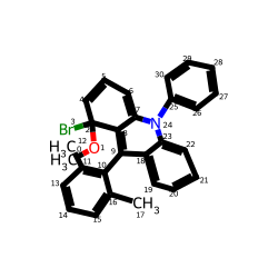 COC1(Br)C=CC=C2C1=C(c1c(C)cccc1C)c1ccccc1N2c1ccccc1